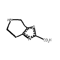 O=C(O)c1nc2c(s1)CNCC2